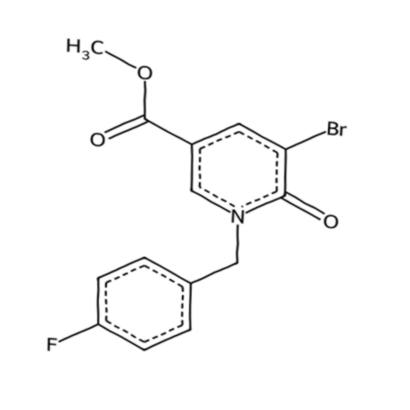 COC(=O)c1cc(Br)c(=O)n(Cc2ccc(F)cc2)c1